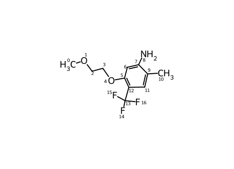 COCCOc1cc(N)c(C)cc1C(F)(F)F